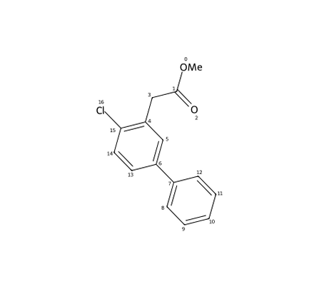 COC(=O)Cc1cc(-c2ccccc2)ccc1Cl